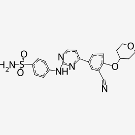 N#Cc1cc(-c2ccnc(Nc3ccc(S(N)(=O)=O)cc3)n2)ccc1OC1CCOCC1